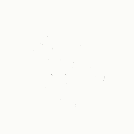 CC(C)(C)OC(=O)NCCc1nc2cccc(C#N)c2c(=O)n1-c1cc(F)cc(C#N)c1